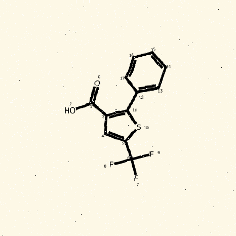 O=C(O)c1cc(C(F)(F)F)sc1-c1ccccc1